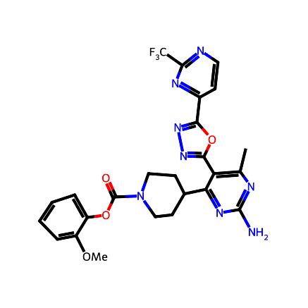 COc1ccccc1OC(=O)N1CCC(c2nc(N)nc(C)c2-c2nnc(-c3ccnc(C(F)(F)F)n3)o2)CC1